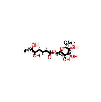 CCCC(O)C(O)CCCC(=O)OCC1O[C@H](OC)C(O)[C@@H](O)[C@@H]1O